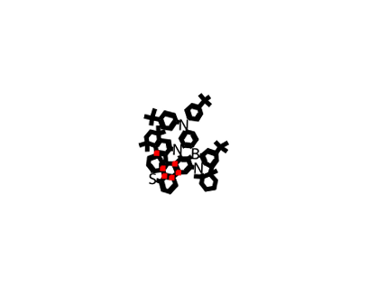 CC(C)(C)c1ccc(N(c2ccc(C(C)(C)C)cc2)c2ccc3c(c2)N(c2cc4c(cc2-c2ccccc2)C(C)(C)CCC4(C)C)c2cc(-c4cccc5sc6ccccc6c45)cc4c2B3c2cc(C(C)(C)C)cc3c2N4C2(C)CCCCC32C)cc1